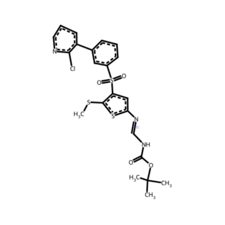 CSc1sc(/N=C/NC(=O)OC(C)(C)C)cc1S(=O)(=O)c1cccc(-c2cccnc2Cl)c1